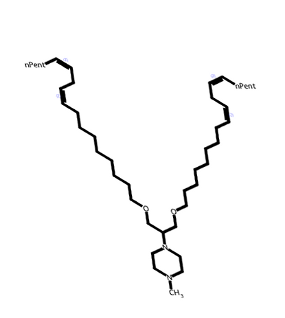 CCCCC/C=C\C/C=C\CCCCCCCCOCC(COCCCCCCCC/C=C\C/C=C\CCCCC)N1CCN(C)CC1